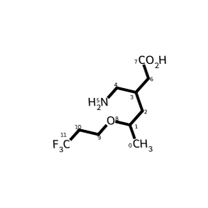 CC(CC(CN)CC(=O)O)OCCC(F)(F)F